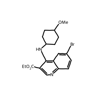 CCOC(=O)c1cnc2ccc(Br)cc2c1NC1CCC(OC)CC1